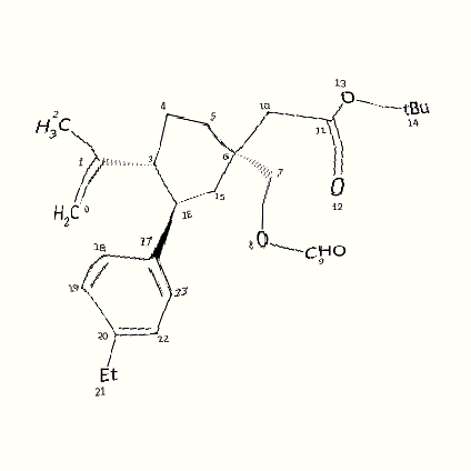 C=C(C)[C@@H]1CC[C@@](COC=O)(CC(=O)OC(C)(C)C)C[C@H]1c1ccc(CC)cc1